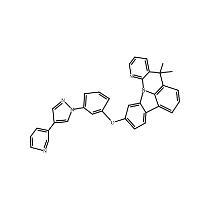 CC1(C)c2cccnc2-n2c3cc(Oc4cccc(-n5cc(-c6cccnc6)cn5)c4)ccc3c3cccc1c32